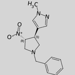 Cn1cc([C@H]2CN(Cc3ccccc3)C[C@@H]2[N+](=O)[O-])cn1